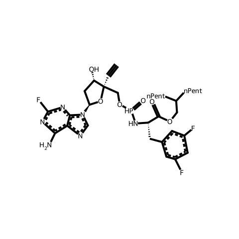 C#C[C@]1(CO[PH](=O)N[C@@H](Cc2cc(F)cc(F)c2)C(=O)OCC(CCCCC)CCCCC)O[C@@H](n2cnc3c(N)nc(F)nc32)C[C@@H]1O